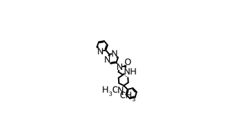 CN(C)[C@]1(c2ccccc2)CC[C@]2(CC1)CN(c1cnc(-c3ccccn3)nc1)C(=O)N2